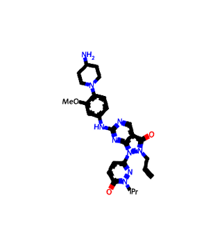 C=CCn1c(=O)c2cnc(Nc3ccc(N4CCC(N)CC4)c(OC)c3)nc2n1-c1ccc(=O)n(C(C)C)n1